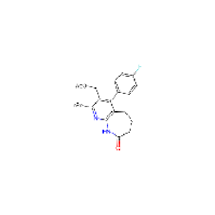 CCCc1nc2c(c(-c3ccc(F)cc3)c1COC(C)=O)CCCC(=O)N2